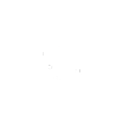 BC(C(C)CC)C(C)(CC)C(=O)C(C)C